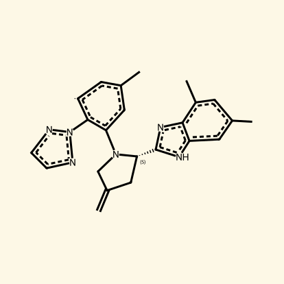 C=C1C[C@@H](c2nc3c(C)cc(C)cc3[nH]2)N(c2cc(C)c[c]c2-n2nccn2)C1